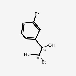 CC[C@H](O)[C@@H](O)c1cccc(Br)c1